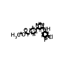 CCOC(=O)CN1CCN(c2cc(Nc3ccc(F)c(Cl)c3)ncn2)CC1